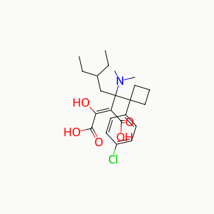 CCC(CC)CC(/C(C(=O)O)=C(\O)C(=O)O)(N(C)C)C1(c2ccc(Cl)cc2)CCC1